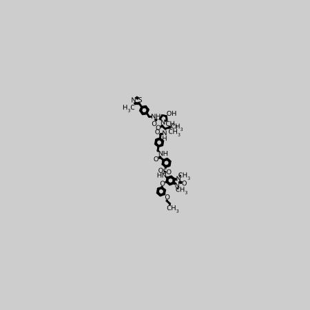 CCCOc1cccc(Oc2cc3c(cc2NS(=O)(=O)c2cccc(C(=O)NCc4ccc(C(=O)N[C@H](C(=O)N5C[C@H](O)C[C@H]5C(=O)NCc5ccc(-c6scnc6C)cc5)C(C)(C)C)cc4)c2)n(C)c(=O)n3C)c1